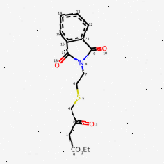 CCOC(=O)CC(=O)CSCCN1C(=O)c2ccccc2C1=O